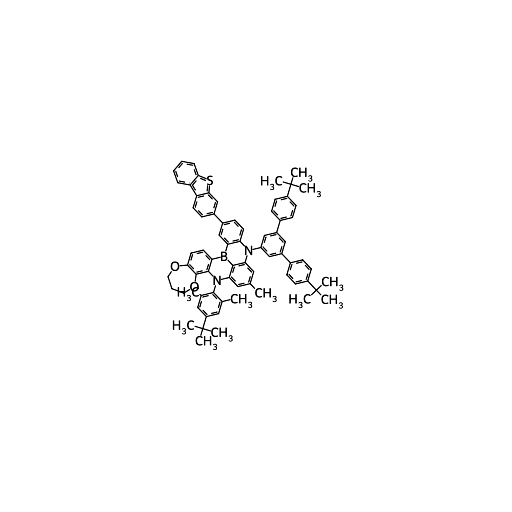 Cc1cc2c3c(c1)N(c1c(C)cc(C(C)(C)C)cc1C)c1c(ccc4c1OCCCO4)B3c1cc(-c3ccc4c(c3)sc3ccccc34)ccc1N2c1cc(-c2ccc(C(C)(C)C)cc2)cc(-c2ccc(C(C)(C)C)cc2)c1